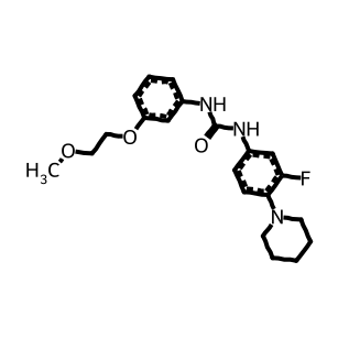 COCCOc1cccc(NC(=O)Nc2ccc(N3CCCCC3)c(F)c2)c1